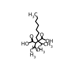 CCCCCCCC(C(=O)O)(C(C)C)C(C(=O)O)C(C)C